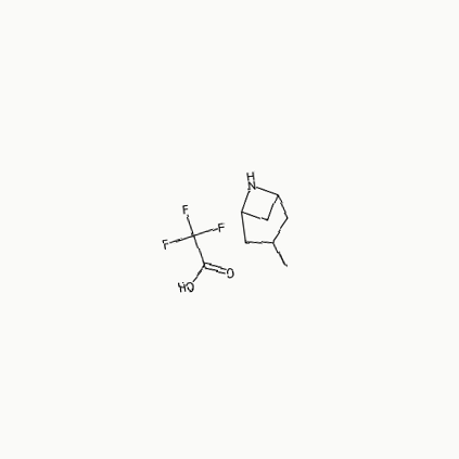 CC1CC2CC(C1)N2.O=C(O)C(F)(F)F